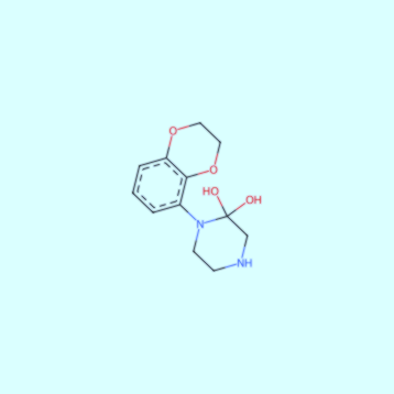 OC1(O)CNCCN1c1cccc2c1OCCO2